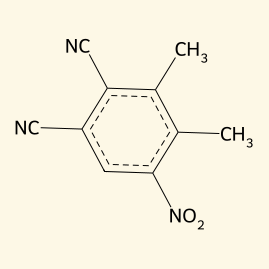 Cc1c([N+](=O)[O-])cc(C#N)c(C#N)c1C